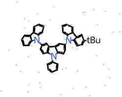 CC(C)(C)c1ccc2c(c1)c1ccccc1n2-c1ccc2c(c1)c1cc(-n3c4ccccc4c4ccccc43)ccc1n2-c1ccccc1